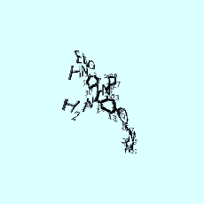 CCC(=O)Nc1ccc(-c2c(N)c3ccc(OCCn4ccnc4)cc3n2C2CCC2)cc1